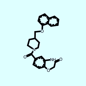 O=C1COc2ccc(C(=O)N3CCC(COc4cccc5ccccc45)CC3)cc2N1